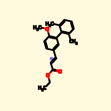 CCOC(=O)/C=C/c1ccc(OC)c(-c2c(C)cccc2C)c1